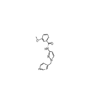 COc1cccc(C(=O)Nc2ccn(Cc3ccncc3)n2)c1